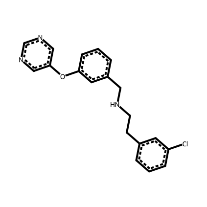 Clc1cccc(CCNCc2cccc(Oc3cncnc3)c2)c1